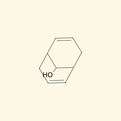 OC1C2C=CCC1C=CC2